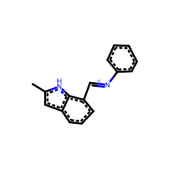 Cc1cc2cccc(/C=N/c3ccccc3)c2[nH]1